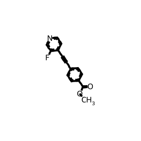 COC(=O)c1ccc(C#Cc2ccncc2F)cc1